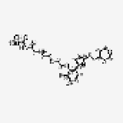 CC(C)(C)[C@@H](C=O)NC(=O)CNCCOCCOc1c(-c2csc(CCC3CCOCC3)n2)ccc(F)c1F